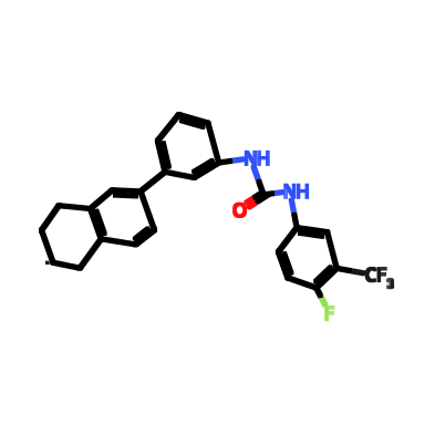 O=C(Nc1cccc(-c2ccc3c(c2)CC[CH]C3)c1)Nc1ccc(F)c(C(F)(F)F)c1